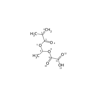 C=C(C)C(=O)OC(C)OC(=O)C(=O)O